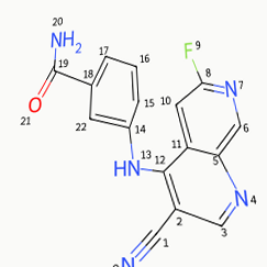 N#Cc1cnc2cnc(F)cc2c1Nc1cccc(C(N)=O)c1